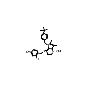 Cc1c(C)n(Cc2ccc(C(C)(C)C)cc2)c2c(OCc3ccc(Cl)cc3Cl)ccnc12.Cl